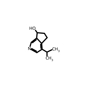 CC(C)c1cncc2c1CCC2O